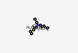 CC1(C)c2cc(-c3ccccc3)ccc2-c2ccc(N(c3ccc(-c4ccccc4)cc3)c3ccc4c(c3)C(C)(C)c3cc(-c5cccc6ccccc56)ccc3-4)cc21